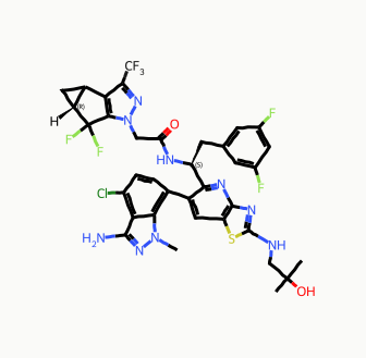 Cn1nc(N)c2c(Cl)ccc(-c3cc4sc(NCC(C)(C)O)nc4nc3[C@H](Cc3cc(F)cc(F)c3)NC(=O)Cn3nc(C(F)(F)F)c4c3C(F)(F)[C@@H]3CC43)c21